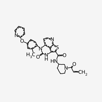 C=CC(=O)N1CCCC(NC(=O)c2sc3nccc4c3c2NC(=O)N4c2ccc(Oc3ccccn3)cc2C)C1